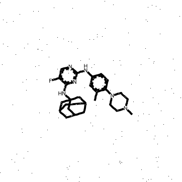 Cc1cc(Nc2ncc(F)c(NC34CC5CC(CC(C5)C3)C4)n2)ccc1N1CCN(C)CC1